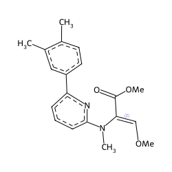 CO/C=C(/C(=O)OC)N(C)c1cccc(-c2ccc(C)c(C)c2)n1